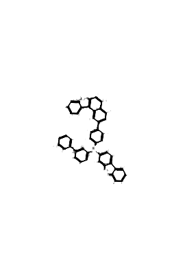 c1ccc(-c2cccc(N(c3ccc(-c4ccc5ccc6oc7ccccc7c6c5c4)cc3)c3ccc4c(c3)oc3ccccc34)c2)cc1